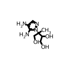 CC(CO)(C(O)CO)n1ncc(N)c1N